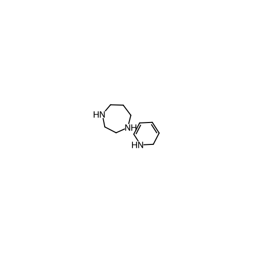 C1=CCNC=C1.C1CNCCNC1